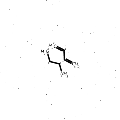 C=CC=C.NCCN